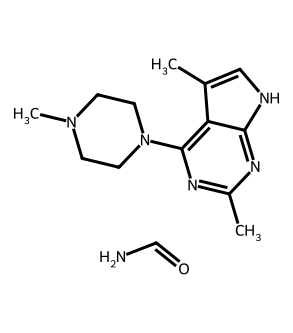 Cc1nc(N2CCN(C)CC2)c2c(C)c[nH]c2n1.NC=O